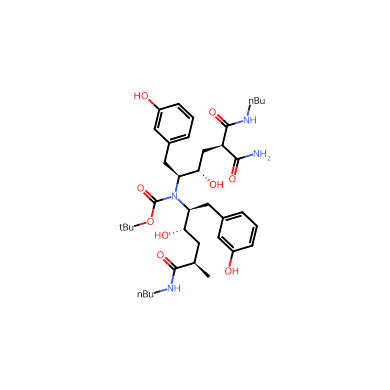 CCCCNC(=O)[C@H](C[C@H](O)[C@H](Cc1cccc(O)c1)N(C(=O)OC(C)(C)C)[C@@H](Cc1cccc(O)c1)[C@@H](O)C[C@@H](C)C(=O)NCCCC)C(N)=O